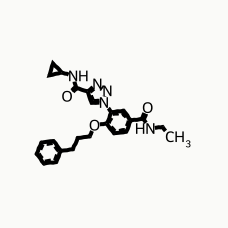 CCNC(=O)c1ccc(OCCCc2ccccc2)c(-n2cc(C(=O)NC3CC3)nn2)c1